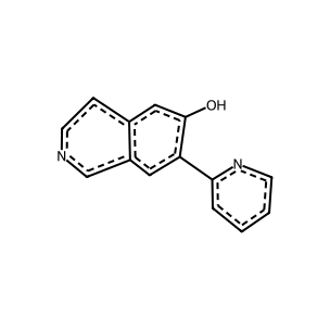 Oc1cc2ccncc2cc1-c1ccccn1